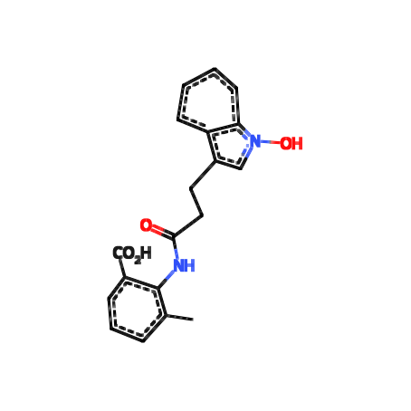 Cc1cccc(C(=O)O)c1NC(=O)CCc1cn(O)c2ccccc12